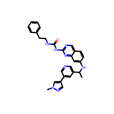 CC(Nc1ccc2cnc(NC(=O)NCCc3ccccc3)nc2c1)c1cncc(-c2cnn(C)c2)c1